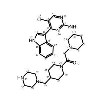 O=C(CN1CCC[C@@H](Nc2ncc(Cl)c(-c3c[nH]c4ccccc34)n2)C1)N1CCC(CN2CCNCC2)CC1